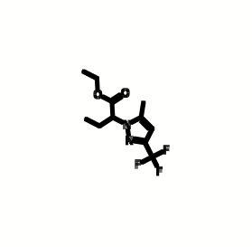 CCOC(=O)C(CC)n1nc(C(F)(F)F)cc1C